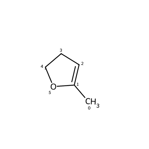 CC1=CC[CH]O1